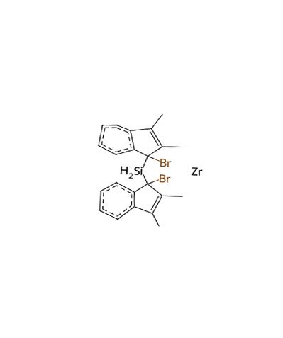 CC1=C(C)C(Br)([SiH2]C2(Br)C(C)=C(C)c3ccccc32)c2ccccc21.[Zr]